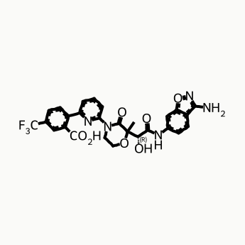 CC1([C@@H](O)C(=O)Nc2ccc3c(N)noc3c2)OCCN(c2cccc(-c3ccc(C(F)(F)F)cc3C(=O)O)n2)C1=O